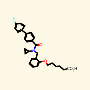 O=C(O)CCCCCOc1ccccc1CN(C(=O)c1ccc(-c2ccc(F)cc2)cc1)C1CC1